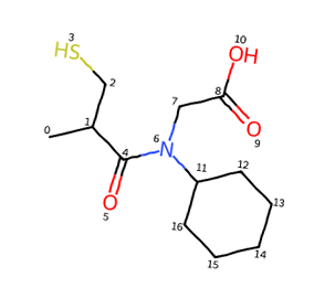 CC(CS)C(=O)N(CC(=O)O)C1CCCCC1